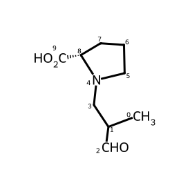 CC(C=O)CN1CCC[C@H]1C(=O)O